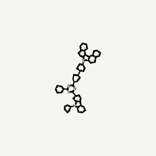 C1=CC(c2nc(-c3ccccc3)nc(-c3ccc4c5ccccc5n(-c5ccccc5)c4c3)n2)CC=C1c1ccc(-n2c3ccc4ccccc4c3c3c4ccccc4ccc32)cc1